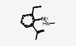 C=C(C)c1cccc(CC)c1NNC